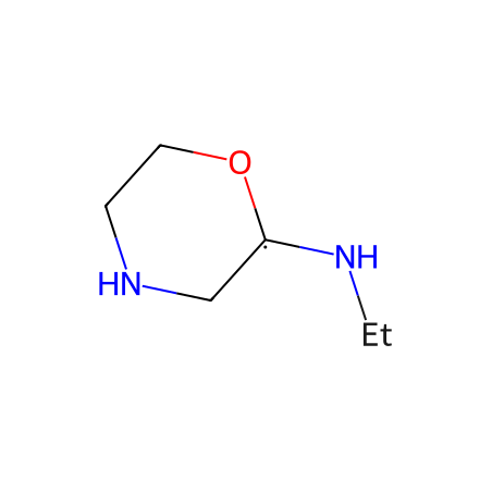 CCN[C]1CNCCO1